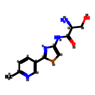 Cc1ccc(-c2nc(NC(=O)[C@@H](N)CO)cs2)cn1